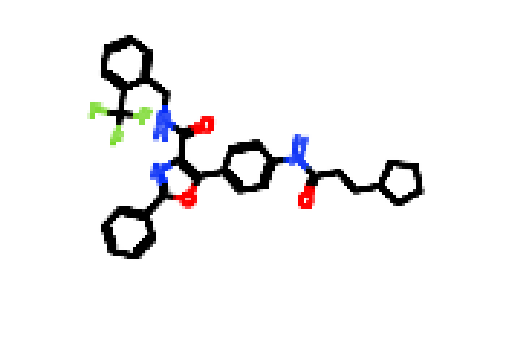 O=C(CCC1CCCC1)Nc1ccc(-c2oc(-c3ccccc3)nc2C(=O)NCc2ccccc2C(F)(F)F)cc1